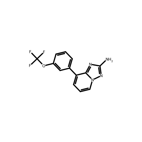 Nc1nc2c(-c3cccc(OC(F)(F)F)c3)cccn2n1